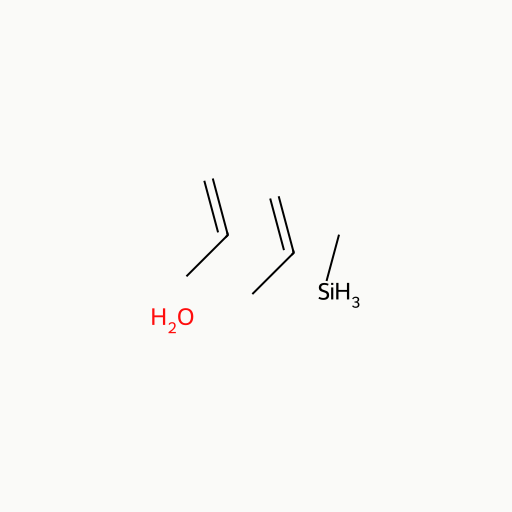 C=CC.C=CC.C[SiH3].O